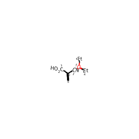 C=C(C#N)C(=O)O.CCOCC